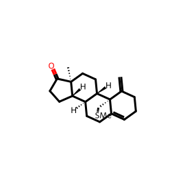 C=C1CCC=C2CC[C@@H]3[C@H](CC[C@]4(C)C(=O)CC[C@@H]34)[C@@]12CSC